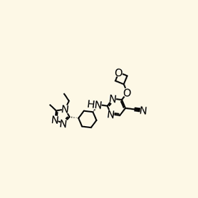 CCn1c(C)nnc1[C@H]1CCC[C@@H](Nc2ncc(C#N)c(OC3COC3)n2)C1